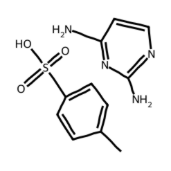 Cc1ccc(S(=O)(=O)O)cc1.Nc1ccnc(N)n1